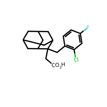 O=C(O)CC1(Cc2ccc(F)cc2Cl)C2CC3CC(C2)CC1C3